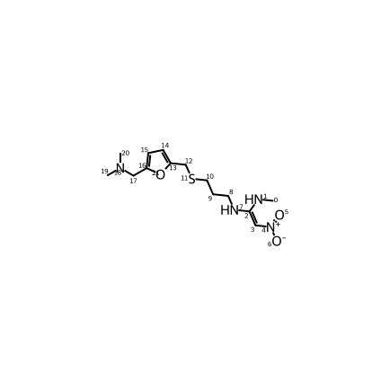 CNC(=C[N+](=O)[O-])NCCCSCc1ccc(CN(C)C)o1